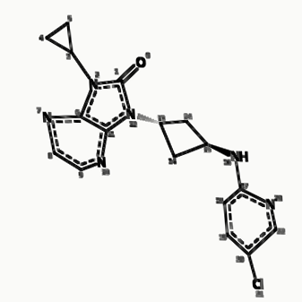 O=c1n(C2CC2)c2nccnc2n1[C@H]1C[C@H](Nc2ccc(Cl)cn2)C1